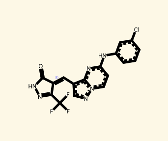 O=C1NN=C(C(F)(F)F)/C1=C\c1cnn2ccc(Nc3cccc(Cl)c3)nc12